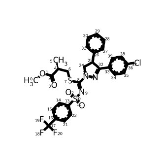 COC(=O)[C@@H](C)CS/C(=N\S(=O)(=O)c1ccc(C(F)(F)F)cc1)N1CC(c2ccccc2)C(c2ccc(Cl)cc2)=N1